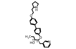 CC[C@@H](O)[C@H](Cc1cccnc1)Oc1ccc(-c2ccc(OCCC3CCCN3)cc2)cc1